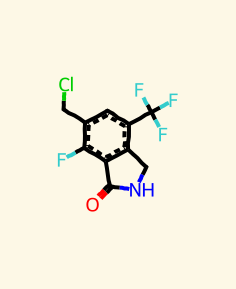 O=C1NCc2c(C(F)(F)F)cc(CCl)c(F)c21